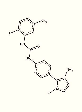 Cn1ccc(N)c1-c1ccc(NC(=O)Nc2cc(C(F)(F)F)ccc2F)cc1